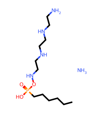 CCCCCCP(=O)(O)ONCCNCCNCCN.N